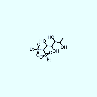 CCS(=O)(=O)C(C(O)C(O)C(O)C(C)O)S(=O)(=O)CC